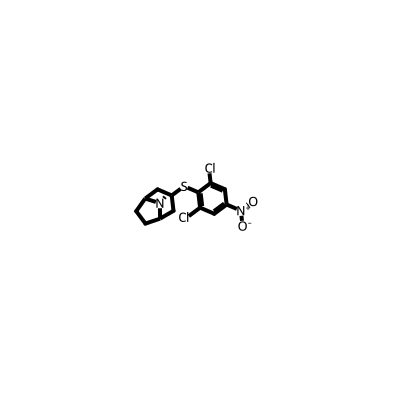 CN1C2CCC1CC(Sc1c(Cl)cc([N+](=O)[O-])cc1Cl)C2